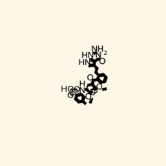 CCOC(=O)C(C[C@H](Nc1cc(C)ccc1S(=O)(=O)O)C(=O)OCC)C(=O)c1ccccc1CCc1c[nH]c2[nH]c(N)nc(=O)c12